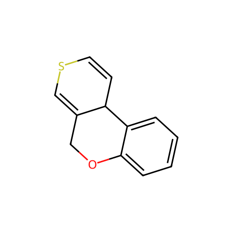 C1=CC2C(=CS1)COc1ccccc12